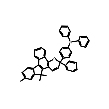 CC1(C)c2cc(I)ccc2-c2c1c1c(c3ccccc23)OC(c2ccccc2)(c2ccc(N(c3ccccc3)c3ccccc3)cc2)C=C1